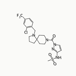 CS(=O)(=O)Nc1ccn(C(=O)N2CCC3(CCCN3Cc3ccc(C(F)(F)F)cc3Cl)CC2)n1